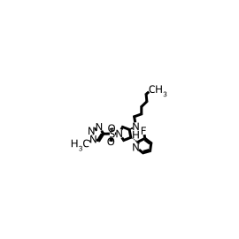 CCCCCCN[C@@H]1CN(S(=O)(=O)c2cn(C)nn2)C[C@H]1c1ncccc1F